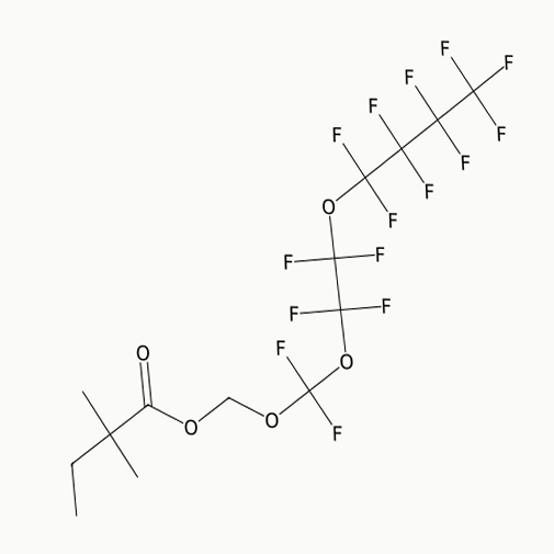 CCC(C)(C)C(=O)OCOC(F)(F)OC(F)(F)C(F)(F)OC(F)(F)C(F)(F)C(F)(F)C(F)(F)F